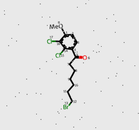 COc1ccc(C(=O)CCCCCCBr)c(Cl)c1Cl